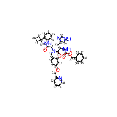 O=C(CN(Cc1ccc(OCc2ccccn2)cc1)C(=O)[C@H](Cc1c[nH]cn1)NC(=O)OCc1ccccc1)NCC1(c2ccccc2)CCC1